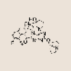 C#Cc1c(F)ccc2cc(O)cc(C(=O)c3nc4nc(OCC56CCCN5CCC6)nc(N5CCC[C@@](C)(O)C5)c4n3C3CCC3)c12